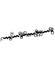 CCCCCCC(=O)NCCCCCN(O)C(=O)CCC(=O)NCCCCCN(O)C(=O)CCC(=O)NCCCCCN(O)C(C)=O